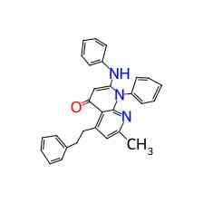 Cc1cc(CCc2ccccc2)c2c(=O)cc(Nc3ccccc3)n(-c3ccccc3)c2n1